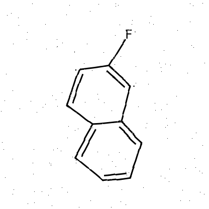 Fc1[c]cc2ccccc2[c]1